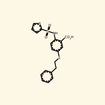 O=C(O)c1cc(SCCc2ccccc2)ccc1NS(=O)(=O)c1cccs1